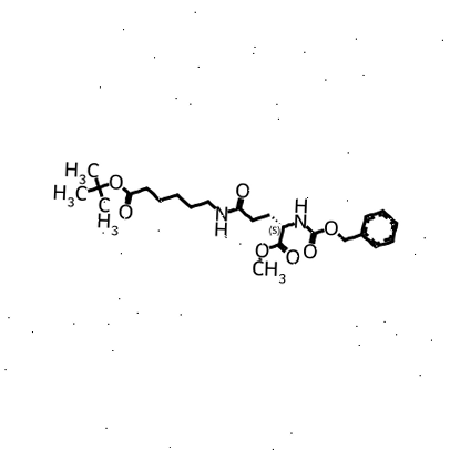 COC(=O)[C@H](CCC(=O)NCCCCCC(=O)OC(C)(C)C)NC(=O)OCc1ccccc1